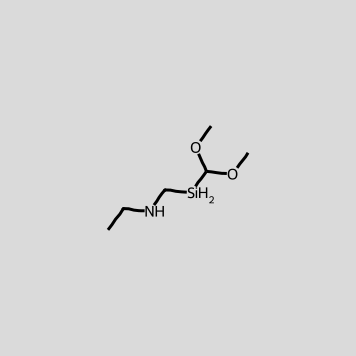 CCNC[SiH2]C(OC)OC